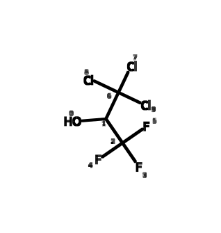 OC(C(F)(F)F)C(Cl)(Cl)Cl